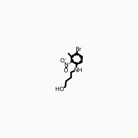 Cc1c(Br)ccc(NCCCCO)c1[N+](=O)[O-]